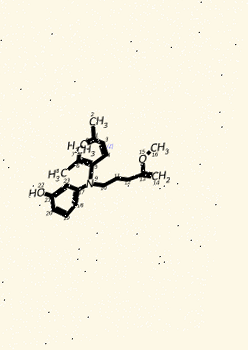 C=C(C)/C=C\C(=C(C)C)N(CCCC(=C)OC)c1cccc(O)c1